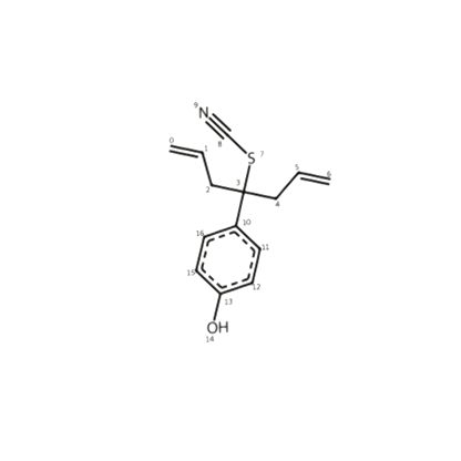 C=CCC(CC=C)(SC#N)c1ccc(O)cc1